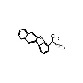 CC(C)c1cccc2c1sc1cc3ccccc3cc12